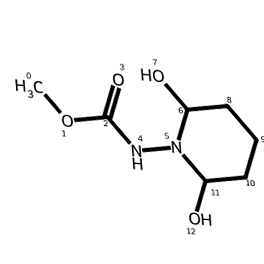 COC(=O)NN1C(O)CCCC1O